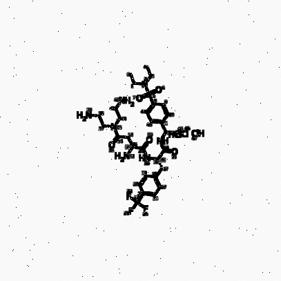 CCN(CC)S(=O)(=O)c1ccc(CNC(=O)[C@H](Cc2ccc(C(F)(F)F)cc2)NC(=O)[C@@H](N)CC(=O)N(CCN)CCN)cc1.Cl.Cl.Cl